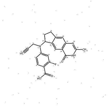 C#CCN(c1ccc(C(=O)O)c(F)c1)C1CCc2cc3nc(C)[nH]c(=O)c3cc21